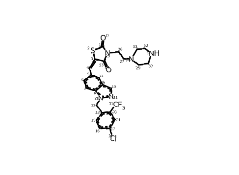 O=C1SC(=Cc2ccc3c(cnn3Cc3ccc(Cl)cc3C(F)(F)F)c2)C(=O)N1CCN1CCNCC1